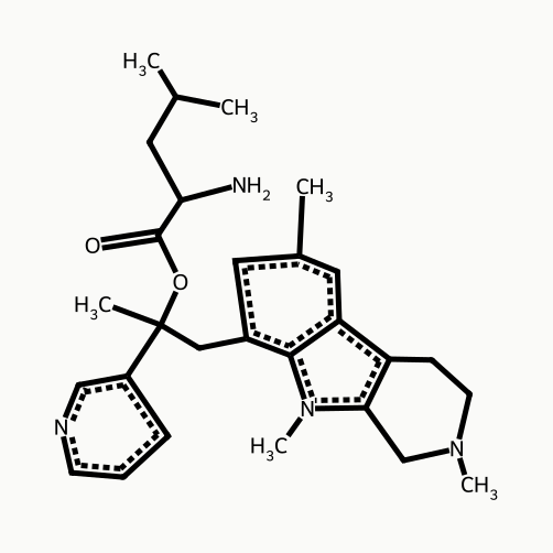 Cc1cc(CC(C)(OC(=O)C(N)CC(C)C)c2cccnc2)c2c(c1)c1c(n2C)CN(C)CC1